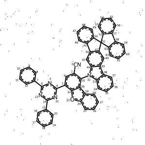 N#Cc1cc(-c2nc(-c3ccccc3)nc(-c3ccccc3)n2)c2oc3ccccc3c2c1-n1c2ccccc2c2cc3c(cc21)-c1ccccc1C31c2ccccc2-c2ccccc21